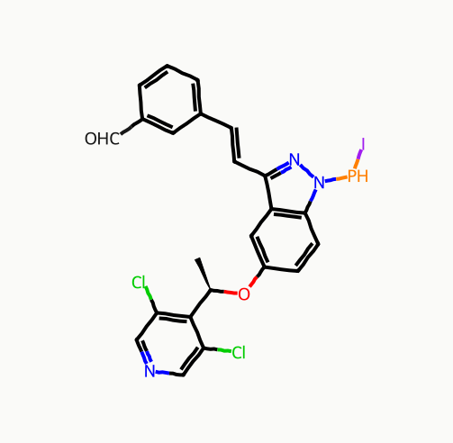 C[C@@H](Oc1ccc2c(c1)c(/C=C/c1cccc(C=O)c1)nn2PI)c1c(Cl)cncc1Cl